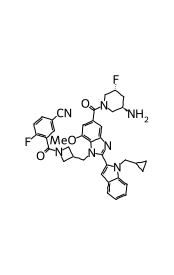 COc1cc(C(=O)N2C[C@H](N)C[C@@H](F)C2)cc2nc(-c3cc4ccccc4n3CC3CC3)n(CC3CN(C(=O)c4cc(C#N)ccc4F)C3)c12